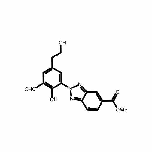 COC(=O)c1ccc2nn(-c3cc(CCO)cc(C=O)c3O)nc2c1